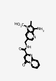 Cc1c(N)c2ncc(CNC(=O)c3cc(=O)n4ccccc4n3)cc2n1C(=O)O